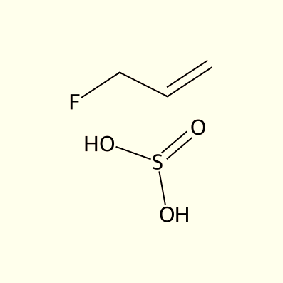 C=CCF.O=S(O)O